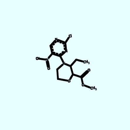 CCC1C(C(=O)OC)OCCN1c1nc(Cl)ncc1[N+](=O)[O-]